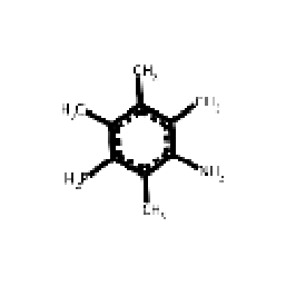 Cc1c(C)c(N)c(C)c(P)c1C